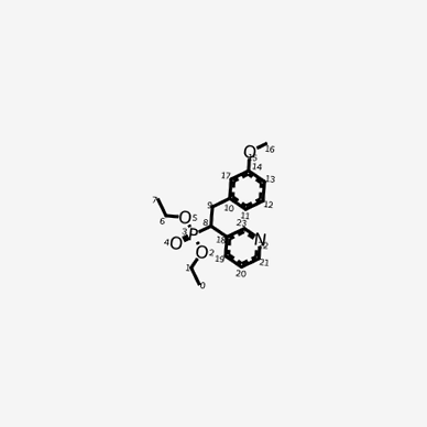 CCOP(=O)(OCC)C(Cc1cccc(OC)c1)c1cccnc1